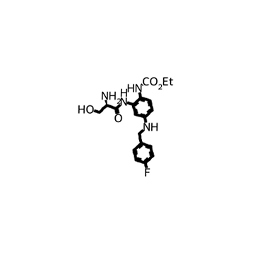 CCOC(=O)Nc1ccc(NCc2ccc(F)cc2)cc1NC(=O)[C@H](N)CO